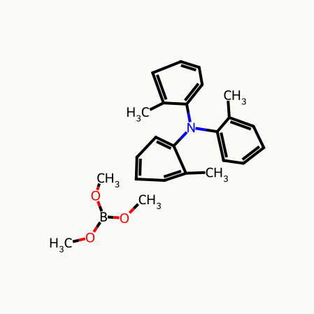 COB(OC)OC.Cc1ccccc1N(c1ccccc1C)c1ccccc1C